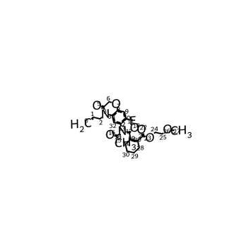 C=CCN1C(=O)COc2cc(F)c(N(C(C)=O)C(=O)C3=C(C(=O)OCCOC)CCCC3)cc21